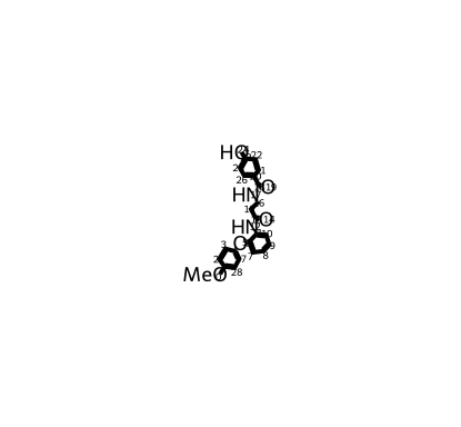 COc1ccc(Oc2ccccc2NC(=O)CCNC(=O)c2ccc(O)cc2)cc1